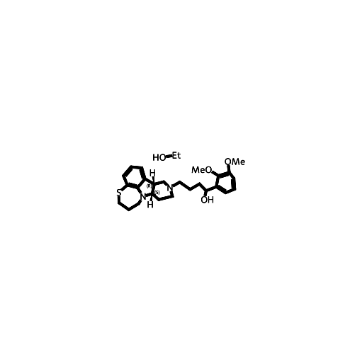 CCO.COc1cccc(C(O)CCCN2CC[C@H]3[C@@H](C2)c2cccc4c2N3CCCS4)c1OC